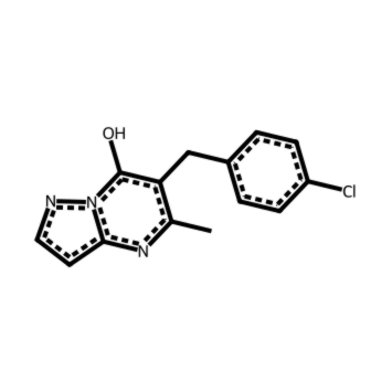 Cc1nc2ccnn2c(O)c1Cc1ccc(Cl)cc1